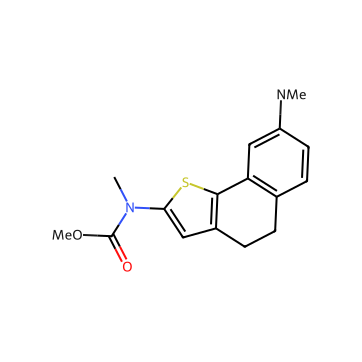 CNc1ccc2c(c1)-c1sc(N(C)C(=O)OC)cc1CC2